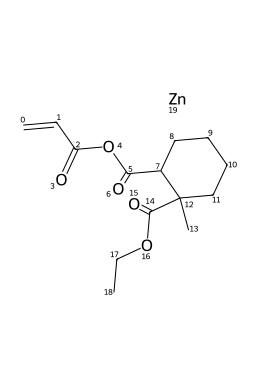 C=CC(=O)OC(=O)C1CCCCC1(C)C(=O)OCC.[Zn]